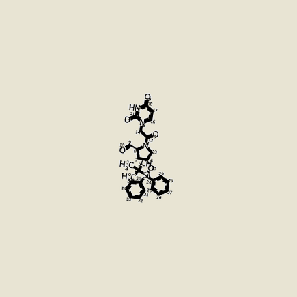 CC(C)(C)[Si](O[C@@H]1C[C@@H](C=O)N(C(=O)Cn2ccc(=O)[nH]c2=O)C1)(c1ccccc1)c1ccccc1